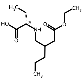 CCCC(CN[C@@H](CC)C(=O)O)CC(=O)OCC